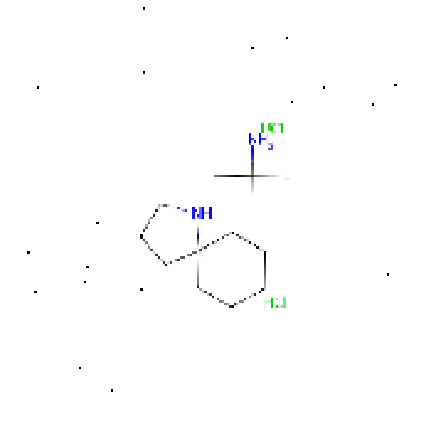 C1CCC2(CC1)CCCN2.CC(C)(C)N.Cl.Cl